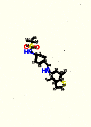 Cc1c(NCc2ccc(NS(=O)(=O)C(C)(C)C)cc2)cc(C)c2sccc12